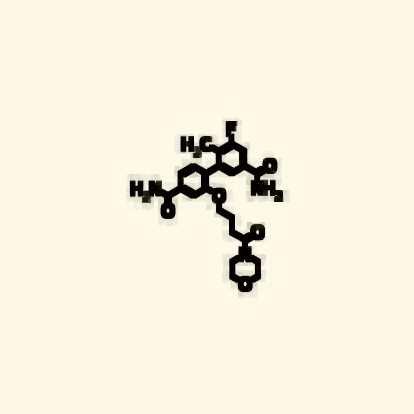 Cc1c(F)cc(C(N)=O)cc1-c1ccc(C(N)=O)cc1OCCCC(=O)N1CCOCC1